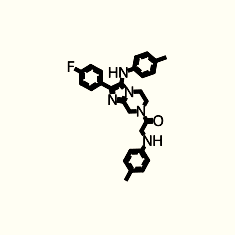 Cc1ccc(NCC(=O)N2CCn3c(nc(-c4ccc(F)cc4)c3Nc3ccc(C)cc3)C2)cc1